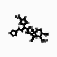 Nc1nc(C(=NOC2CCCC2)C(=O)NC2C(=O)N3C(C(=O)O)C(O)CS[C@H]23)ns1